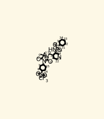 CC1(C)C(=O)N(c2ccc(S(=O)(=O)C(F)(F)F)cc2)C(=O)N1Cc1ccncc1NS(=O)(=O)c1ccccc1